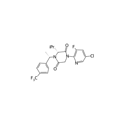 CC(C)[C@@H]1C(=O)N(c2ncc(Cl)cc2F)CC(=O)N1[C@@H](C)c1ccc(C(F)(F)F)cc1